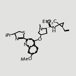 C=C[C@@H]1C[C@]1(NC(=O)[C@@H]1C[C@@H](Oc2cc(C3=NC(C(C)C)CS3)nc3cc(OC)ccc23)CN1C)C(=O)OCC